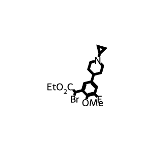 CCOC(=O)C(Br)c1cc(C2CCN(C3CC3)CC2)cc(F)c1OC